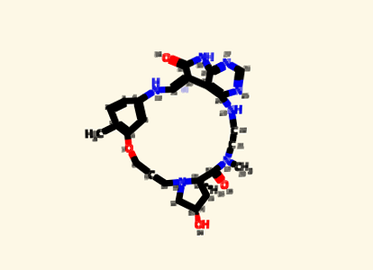 Cc1ccc2cc1OCCCN1C[C@H](O)C[C@@H]1C(=O)N(C)CCNc1ncnc3c1/C(=C/N2)C(=O)N3